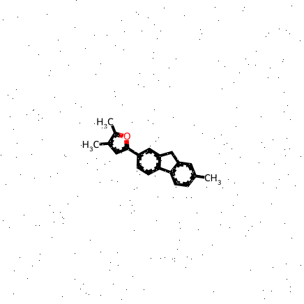 Cc1ccc2c(c1)Cc1cc(-c3cc(C)c(C)o3)ccc1-2